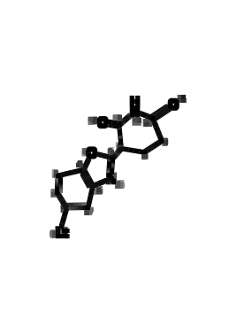 CCc1ccc2oc(C3CCC(=O)NC3=O)nc2c1